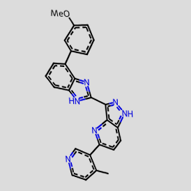 COc1cccc(-c2cccc3[nH]c(-c4n[nH]c5ccc(-c6cnccc6C)nc45)nc23)c1